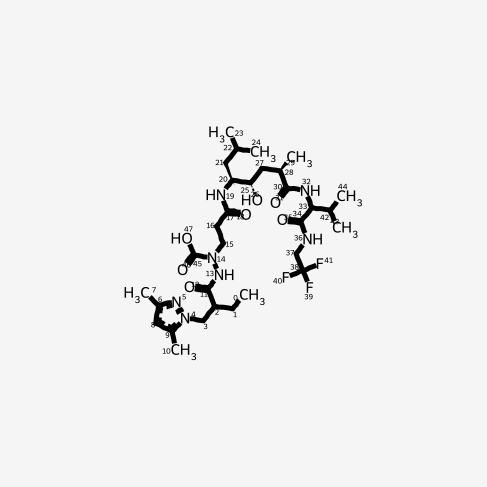 CCC(Cn1nc(C)cc1C)C(=O)NN(CCC(=O)N[C@@H](CC(C)C)[C@@H](O)C[C@@H](C)C(=O)NC(C(=O)NCC(F)(F)F)C(C)C)C(=O)O